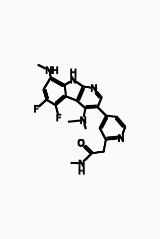 CNC(=O)Cc1cc(-c2cnc3[nH]c4c(NC)cc(F)c(F)c4c3c2N(C)C)ccn1